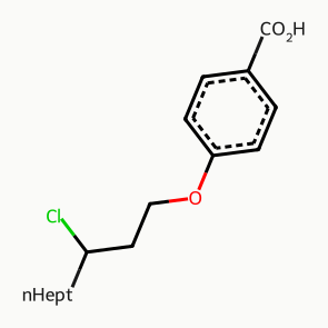 CCCCCCCC(Cl)CCOc1ccc(C(=O)O)cc1